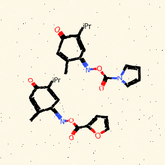 CC1=CC(=O)C(C(C)C)=CC1=NOC(=O)c1ccco1.CC1=CC(=O)C(C(C)C)=CC1=NOC(=O)n1cccc1